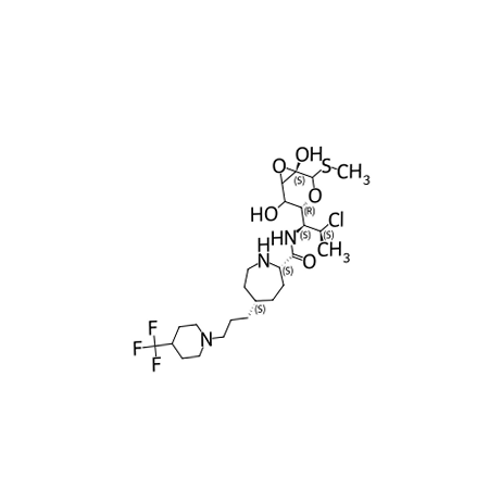 CSC1O[C@H]([C@H](NC(=O)[C@@H]2CC[C@H](CCCN3CCC(C(F)(F)F)CC3)CCN2)[C@H](C)Cl)C(O)C2O[C@]12O